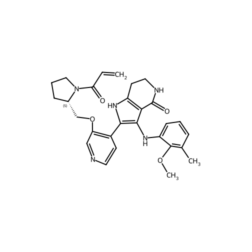 C=CC(=O)N1CCC[C@H]1COc1cnccc1-c1[nH]c2c(c1Nc1cccc(C)c1OC)C(=O)NCC2